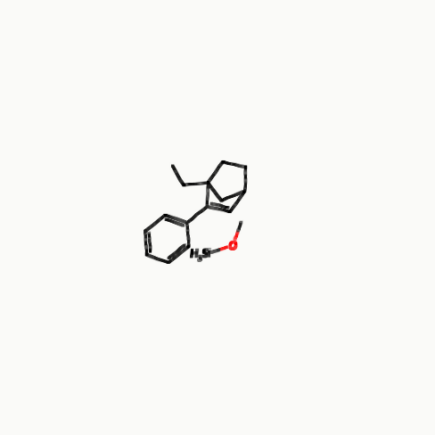 CCC12CCC(C=C1c1ccccc1)C2.CO[SiH3]